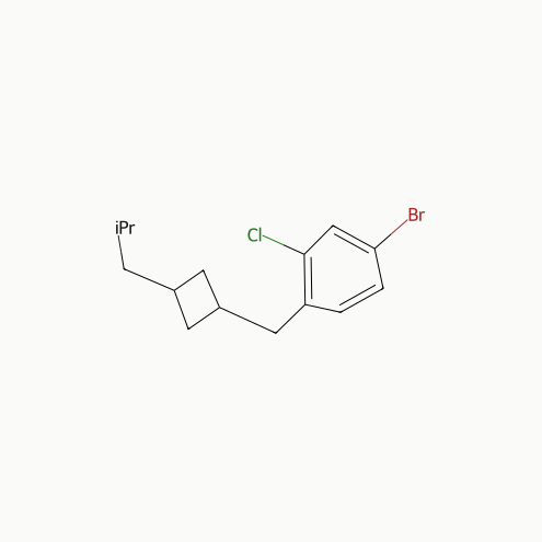 CC(C)CC1CC(Cc2ccc(Br)cc2Cl)C1